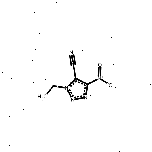 CCn1nnc([N+](=O)[O-])c1C#N